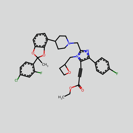 CCOC(=O)C#Cc1c(-c2ccc(F)cc2)nc(CN2CCC(c3cccc4c3OC(C)(c3ccc(Cl)cc3F)O4)CC2)n1CC1CCO1